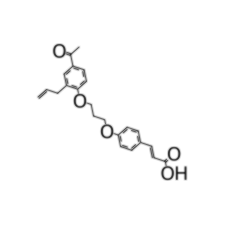 C=CCc1cc(C(C)=O)ccc1OCCCOc1ccc(/C=C/C(=O)O)cc1